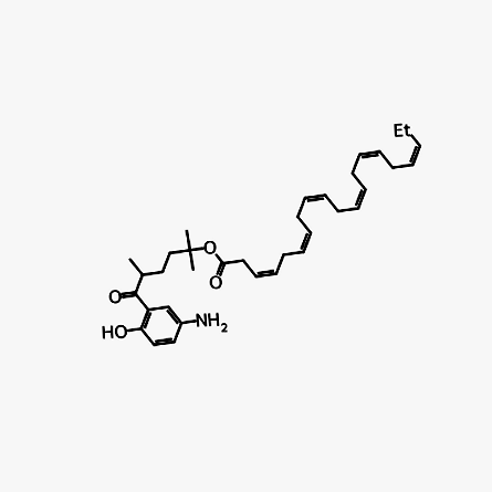 CC/C=C\C/C=C\C/C=C\C/C=C\C/C=C\C/C=C\CC(=O)OC(C)(C)CCC(C)C(=O)c1cc(N)ccc1O